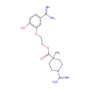 CC1(C(=O)OCCOc2cc(C(=N)N)ccc2O)CCN(C(=N)N)CC1